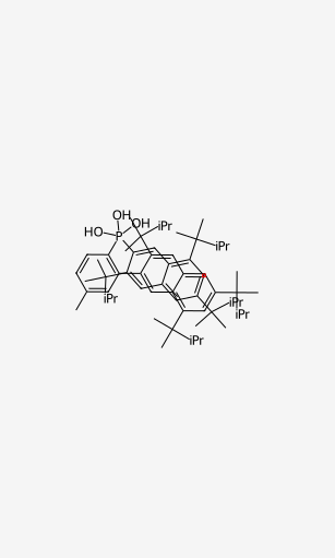 Cc1ccc(P(O)(O)(O)c2cc3c(C(C)(C)C(C)C)cc(C(C)(C)C(C)C)cc3cc2C(C)(C)C(C)C)c(-c2cc3c(C(C)(C)C(C)C)cc(C(C)(C)C(C)C)cc3cc2C(C)(C)C(C)C)c1